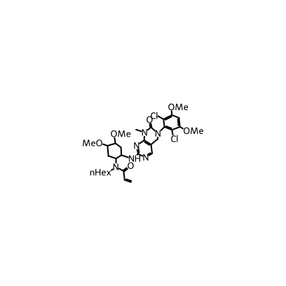 C=CC(=O)N(CCCCCC)C1CC(OC)C(OC)CC1Nc1ncc2c(n1)N(C)C(=O)N(c1c(Cl)c(OC)cc(OC)c1Cl)C2